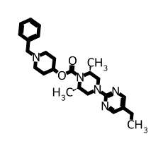 CCc1cnc(N2C[C@@H](C)N(C(=O)OC3CCN(Cc4ccccc4)CC3)[C@@H](C)C2)nc1